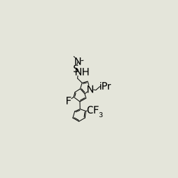 CC(C)Cn1cc(CNSN(C)C)c2cc(F)c(-c3ccccc3C(F)(F)F)cc21